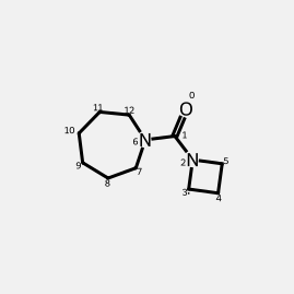 O=C(N1[CH]CC1)N1CCCCCC1